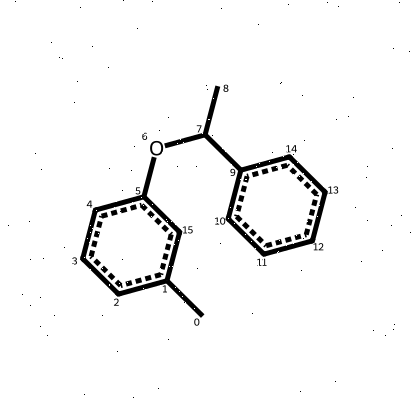 Cc1cccc(OC(C)c2ccccc2)c1